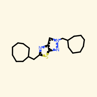 c1c2nc(CC3CCCCCCC3)sc2nn1CC1CCCCCCC1